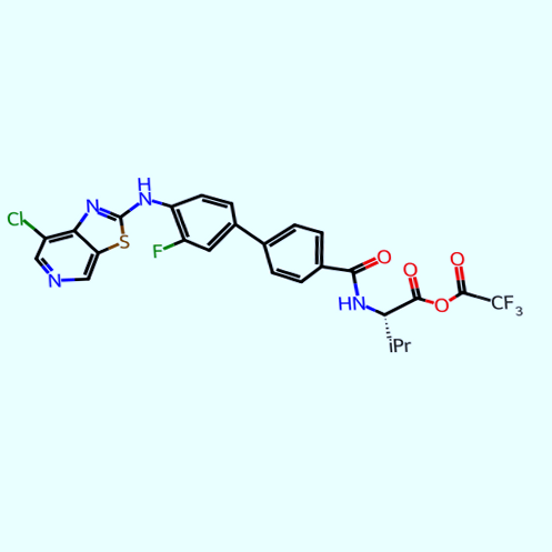 CC(C)[C@H](NC(=O)c1ccc(-c2ccc(Nc3nc4c(Cl)cncc4s3)c(F)c2)cc1)C(=O)OC(=O)C(F)(F)F